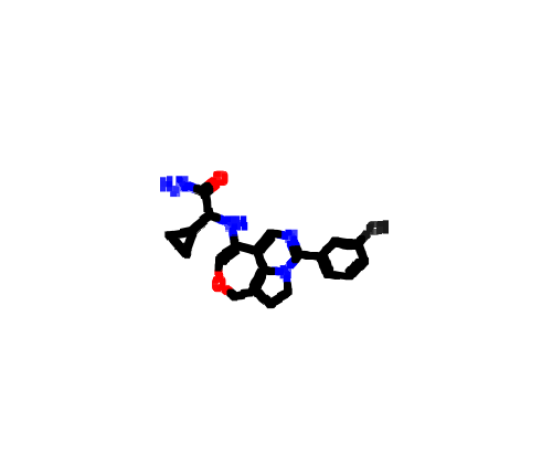 N#Cc1cccc(C2=NC=C3C(NC(C(N)=O)C4CC4)=COCC4=C3N2CC4)c1